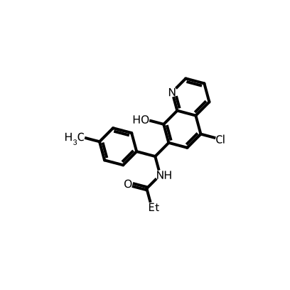 CCC(=O)NC(c1ccc(C)cc1)c1cc(Cl)c2cccnc2c1O